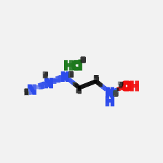 Cl.[N-]=[N+]=NCCNO